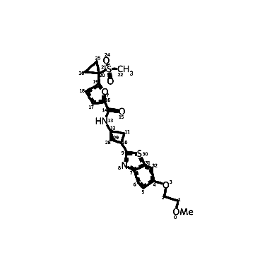 COCCOc1ccc2nc(C34CC(NC(=O)c5ccc(C6(S(C)(=O)=O)CC6)o5)(C3)C4)sc2c1